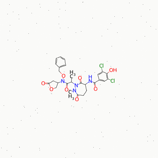 CC(C(=O)N(OCc1ccccc1)C1COC(=O)C1)N1C(=O)C(NC(=O)c2cc(Cl)c(O)c(Cl)c2)CCC(=O)N1C